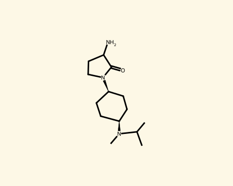 CC(C)N(C)[C@H]1CC[C@@H](N2CCC(N)C2=O)CC1